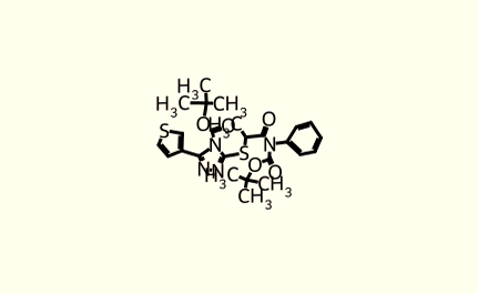 CC(Sc1nnc(-c2ccsc2)n1C(=O)OC(C)(C)C)C(=O)N(C(=O)OC(C)(C)C)c1ccccc1